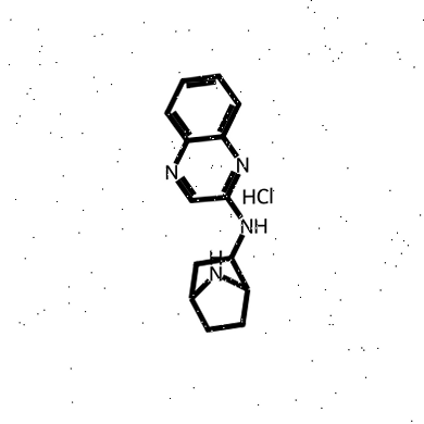 Cl.c1ccc2nc(NC3CC4CCC3N4)cnc2c1